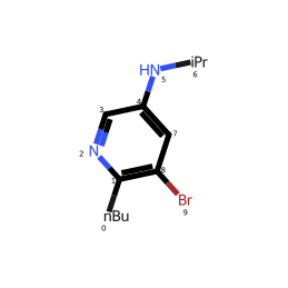 CCCCc1ncc(NC(C)C)cc1Br